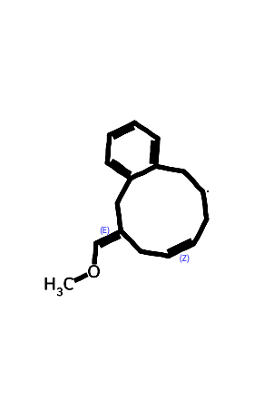 CO/C=C1\C/C=C\C[CH]Cc2ccccc2C1